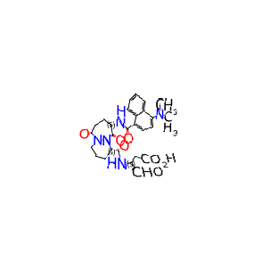 CN(C)c1ccc(C(=O)N[C@H]2CCC(=O)N3CCC[C@@H](C(=O)N[C@H](C=O)CC(=O)O)N3C2=O)c2ccccc12